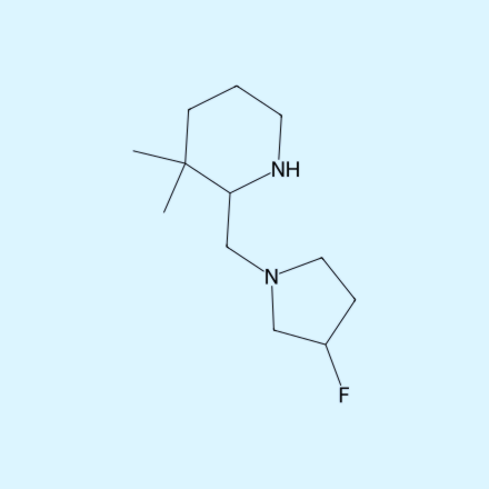 CC1(C)CCCNC1CN1CCC(F)C1